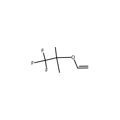 C=COC(C)(C)C(F)(F)F